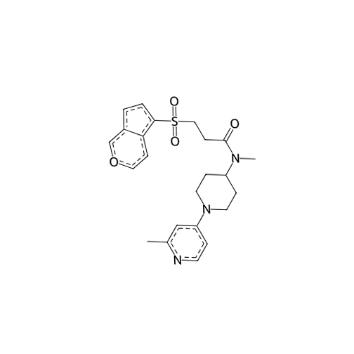 Cc1cc(N2CCC(N(C)C(=O)CCS(=O)(=O)c3ccc4coccc3-4)CC2)ccn1